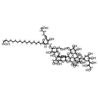 CCCCCCCC/C=C\CCCCCCCCCCCCCCCC(=O)N[C@@H](CO[C@@H]1OC(CO)[C@@H](O[C@@H]2OC(CO)[C@H](O)[C@H](O[C@@H]3OC(CO)[C@@H](O[C@@H]4OC(CO)[C@H](O)[C@H](O[C@]5(C(=O)O)CC(O)[C@@H](O)C([C@H](O)[C@H](O)CO)O5)C4O)[C@H](O[C@H]4OC(C)[C@@H](O)C(O)[C@@H]4O)C3NC(C)=O)C2O)[C@H](O)C1O)[C@H](O)/C=C/CCCCCCCCCCCCC